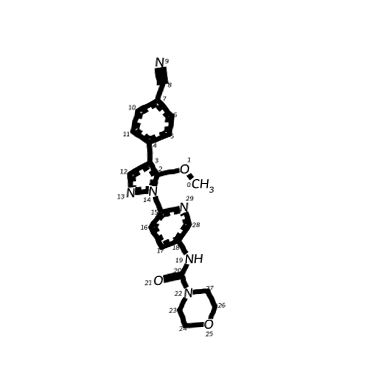 COc1c(-c2ccc(C#N)cc2)cnn1-c1ccc(NC(=O)N2CCOCC2)cn1